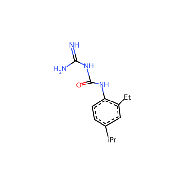 CCc1cc(C(C)C)ccc1NC(=O)NC(=N)N